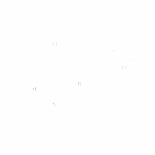 Cc1nc(-c2ccc(N3CC(CN(C)CCN(C)S(=O)(=O)c4c(Cl)cc(Cl)cc4Cl)OC3=O)cc2)no1